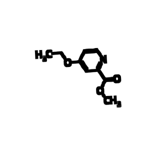 CCOc1ccnc(C(=O)OC)c1